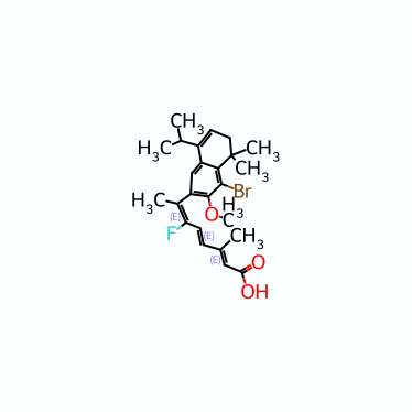 COc1c(\C(C)=C(F)/C=C/C(C)=C/C(=O)O)cc2c(c1Br)C(C)(C)CC=C2C(C)C